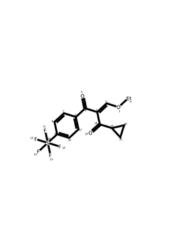 CCOC=C(C(=O)c1ccc(S(F)(F)(F)(F)F)cc1)C(=O)C1CC1